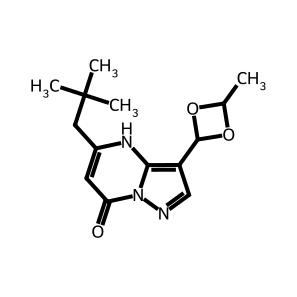 CC1OC(c2cnn3c(=O)cc(CC(C)(C)C)[nH]c23)O1